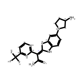 NC(=O)/C(=C1\Nc2ccc(N3CCC(N)C3)cc2S1)c1nccc(C(F)(F)F)n1